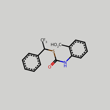 O=C(Nc1ccccc1C(=O)O)SC(c1ccccc1)C(F)(F)F